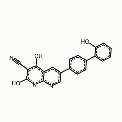 N#Cc1c(O)nc2ncc(-c3ccc(-c4ccccc4O)cc3)cc2c1O